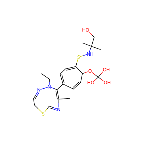 CCN1/N=C\CS/C=N/C(C)=C\1C1=CC=C(SNC(C)(C)CO)C(OC(O)(O)O)C=C1